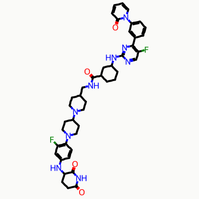 O=C1CCC(Nc2ccc(N3CCC(N4CCC(CNC(=O)C5CCCC(Nc6ncc(F)c(-c7cccc(-n8ccccc8=O)c7)n6)C5)CC4)CC3)c(F)c2)C(=O)N1